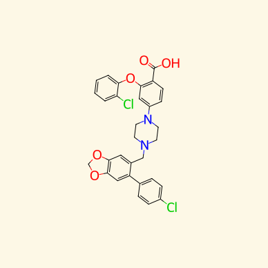 O=C(O)c1ccc(N2CCN(Cc3cc4c(cc3-c3ccc(Cl)cc3)OCO4)CC2)cc1Oc1ccccc1Cl